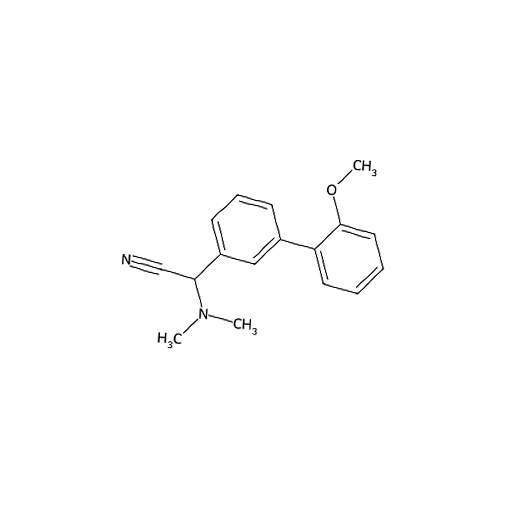 COc1ccccc1-c1cccc(C(C#N)N(C)C)c1